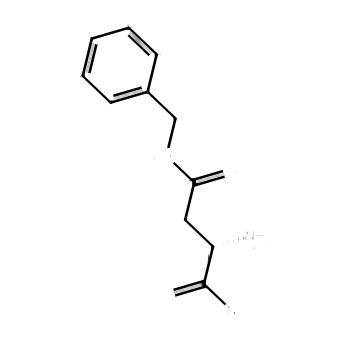 NC(=O)[C@@H](N)CC(=O)OCc1ccccc1